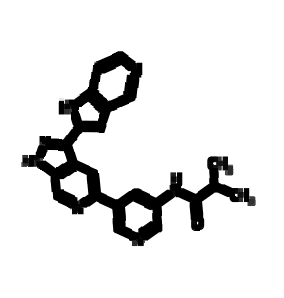 CC(C)C(=O)Nc1cncc(-c2cc3c(-c4cc5cnccc5[nH]4)n[nH]c3cn2)c1